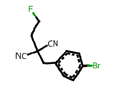 N#CC(C#N)(CCF)Cc1ccc(Br)cc1